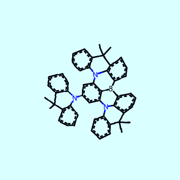 CC1(C)c2ccccc2N(c2cc3c4c(c2)N2c5ccccc5C(C)(C)c5cccc(c52)B4c2cccc4c2N3c2ccccc2C4(C)C)c2ccccc21